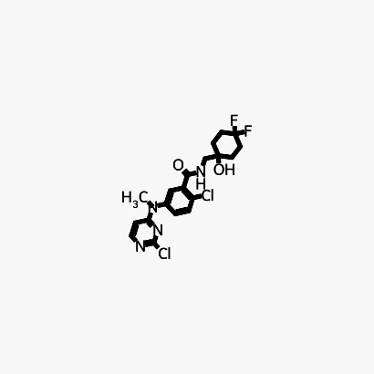 CN(c1ccc(Cl)c(C(=O)NCC2(O)CCC(F)(F)CC2)c1)c1ccnc(Cl)n1